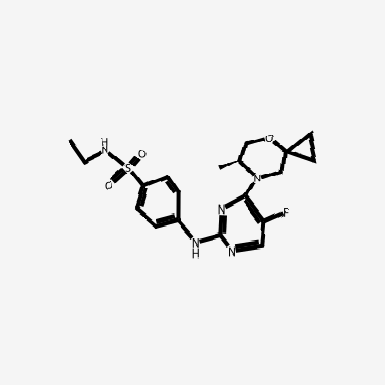 CCNS(=O)(=O)c1ccc(Nc2ncc(F)c(N3CC4(CC4)OC[C@@H]3C)n2)cc1